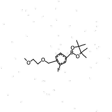 COCCOCc1ccc(B2OC(C)(C)C(C)(C)O2)cc1F